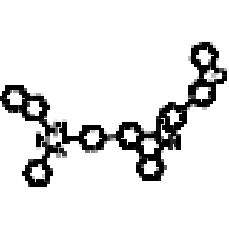 c1ccc(-c2nc(-c3ccc(-c4ccc5c(c4)c4ccccc4c4nc6cc(-c7ccc8oc9ccccc9c8c7)ccn6c54)cc3)nc(-c3ccc4ccccc4c3)n2)cc1